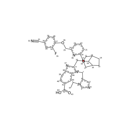 CCn1cncc1Cn1c(CN2CC3CCC(C2)C3Oc2cccc(COc3ccc(C#N)cc3F)n2)nc2ccc(C(=O)O)cc21